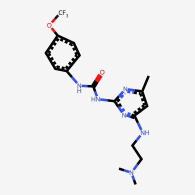 Cc1cc(NCCN(C)C)nc(NC(=O)Nc2ccc(OC(F)(F)F)cc2)n1